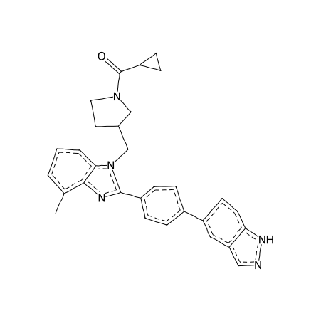 Cc1cccc2c1nc(-c1ccc(-c3ccc4[nH]ncc4c3)cc1)n2CC1CCN(C(=O)C2CC2)C1